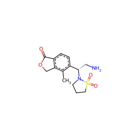 Cc1c([C@H](CN)N2CCCS2(=O)=O)ccc2c1COC2=O